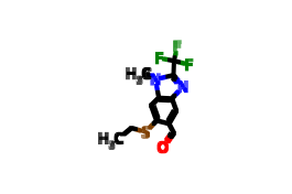 CCSc1cc2c(cc1C=O)nc(C(F)(F)F)n2C